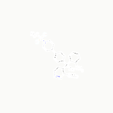 COc1nnccc1[C@@](C(C)=O)(c1ccc(C2CCN(S(C)(=O)=O)CC2)cc1)c1ccccc1C